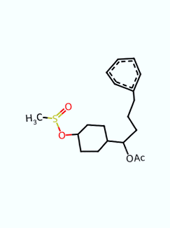 CC(=O)OC(CCCc1ccccc1)C1CCC(OS(C)=O)CC1